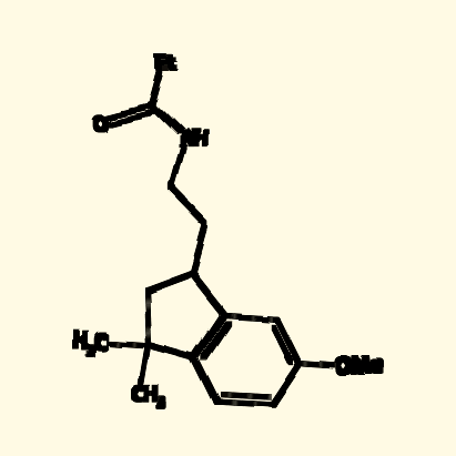 CCC(=O)NCCC1CC(C)(C)c2ccc(OC)cc21